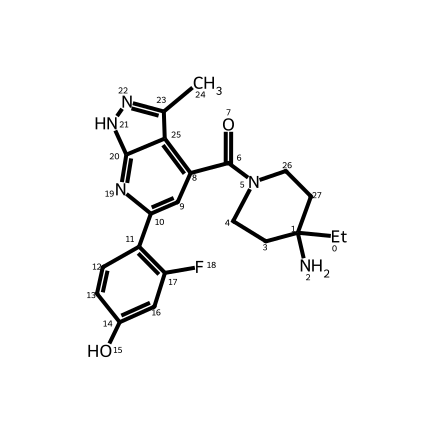 CCC1(N)CCN(C(=O)c2cc(-c3ccc(O)cc3F)nc3[nH]nc(C)c23)CC1